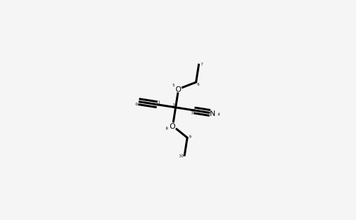 C#CC(C#N)(OCC)OCC